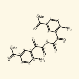 COC(=O)c1ccc(N)c(C(=O)C(=O)OC(=O)C(=O)c2cc(C(=O)OC)ccc2N)c1